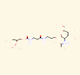 COP(=O)(O)OC(COC(C)=O)COC(=O)NCCC(=O)NCCCO[C@@H]1O[C@H](CO)[C@H](O)[C@H](O)C1NC(C)O